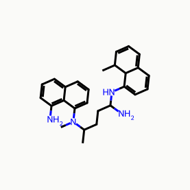 CC1C=CC=C2C=CC=C(NC(N)CCC(C)N(C)c3cccc4cccc(N)c34)C21